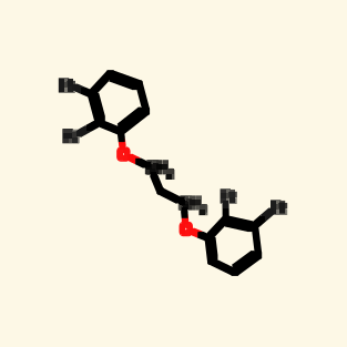 CCc1cccc(O[SiH2]C[SiH2]Oc2cccc(CC)c2CC)c1CC